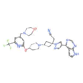 N#CCC1(n2cc(-c3ncnc4[nH]ccc34)cn2)CC(N2CCC(Oc3cc(CN4CCOCC4)cc(C(F)(F)F)n3)CC2)C1